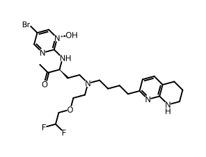 CC(=O)[C@H](CCN(CCCCc1ccc2c(n1)NCCC2)CCOCC(F)F)Nc1ncc(Br)c[n+]1O